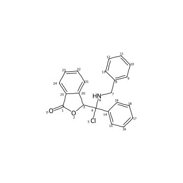 O=C1OC(C(Cl)(NCc2ccccc2)c2ccccc2)c2ccccc21